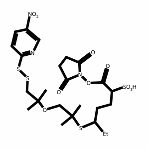 CCC(CCC(C(=O)ON1C(=O)CCC1=O)S(=O)(=O)O)SC(C)(C)COC(C)(C)CSSc1ccc([N+](=O)[O-])cn1